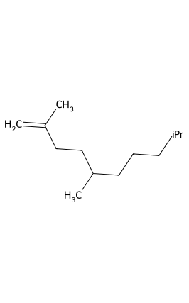 C=C(C)CCC(C)CCCC(C)C